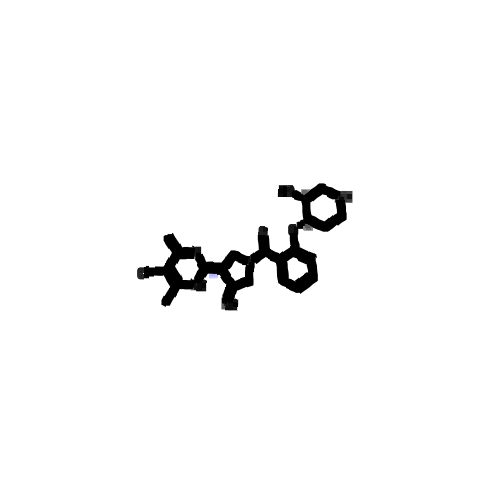 CC1=N/C(=C2\CN(C(=O)c3ccccc3O[C@H]3CCNC[C@@H]3O)CC2=N)NC(C)=C1Cl